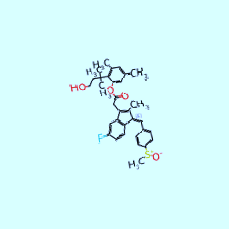 CC1=C(CC(=O)Oc2cc(C)cc(C)c2C(C)(C)CCO)c2cc(F)ccc2/C1=C\c1ccc([S+](C)[O-])cc1